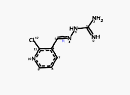 N=C(N)N/N=C/c1cccnc1Cl